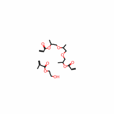 C=C(C)C(=O)OCCO.C=CC(=O)OC(C)COCC(C)OCC(C)OC(=O)C=C